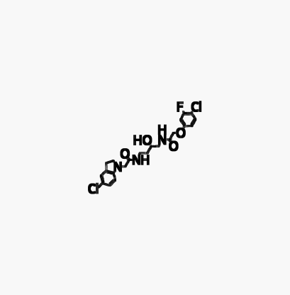 O=C(COc1ccc(Cl)c(F)c1)NC[C@@H](O)CCNC(=O)CN1CCc2cc(Cl)ccc21